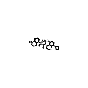 COc1ccc(C2CCC2)c2c1[C@@H](C(=O)NS(=O)(=O)c1cccc3c1CCCN3)CCO2